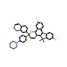 CC1(C)c2cc(F)ccc2-c2c1c1c(c3cc(F)ccc23)OC(c2ccc(N3CCCCC3)cc2)(c2ccc3c(c2)CCC=C3)C=C1